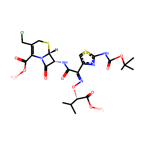 BOC(=O)C1=C(CCl)CS[C@@H]2[C@H](NC(=O)/C(=N\O[C@H](C(=O)OB)C(C)C)c3csc(NC(=O)OC(C)(C)C)n3)C(=O)N12